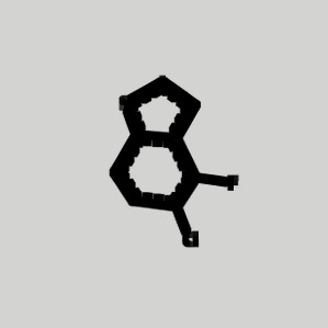 Fc1c(Cl)ccc2s[c]cc12